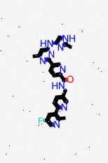 Cc1cc(Nc2c[nH]c(C)n2)nc(-c2ccc(C(=O)NCc3ccc(-c4cc(F)cnc4C)nc3)nc2)n1